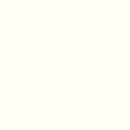 O=C(O)c1cc(Br)cc(-n2ccnn2)c1